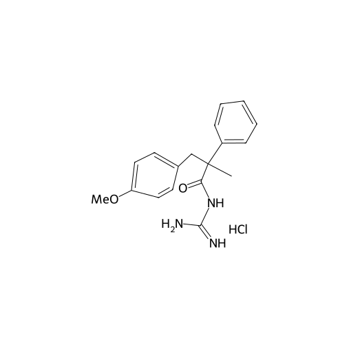 COc1ccc(CC(C)(C(=O)NC(=N)N)c2ccccc2)cc1.Cl